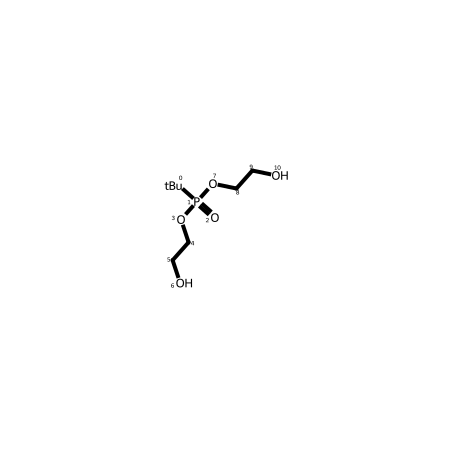 CC(C)(C)P(=O)(OCCO)OCCO